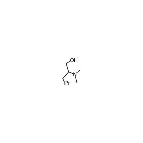 CC(C)CC(CO)N(C)C